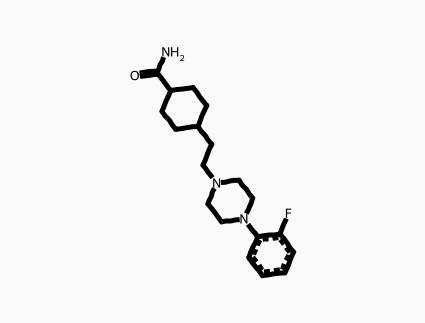 NC(=O)C1CCC(CCN2CCN(c3ccccc3F)CC2)CC1